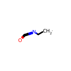 [CH2]CN=C=O